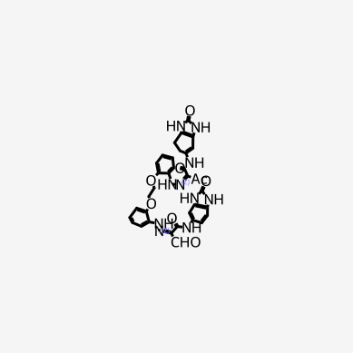 CC(=O)/C(=N/Nc1ccccc1OCCOc1ccccc1N/N=C(/C=O)C(=O)Nc1ccc2[nH]c(=O)[nH]c2c1)C(=O)NC1=Cc2[nH]c(=O)[nH]c2CC1